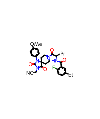 CCc1ccc(F)c(C(=O)NC(C(=O)N2CCC3(CC2)C(=O)N(CC#N)C(=O)N3c2ccc(OC)cc2)C(C)C)c1